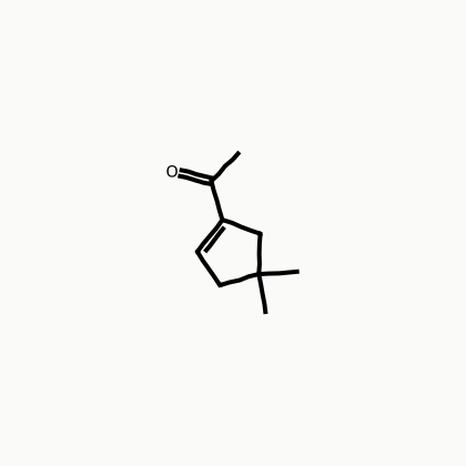 CC(=O)C1=CCC(C)(C)C1